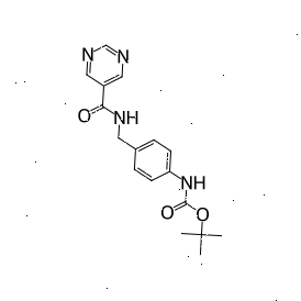 CC(C)(C)OC(=O)Nc1ccc(CNC(=O)c2cncnc2)cc1